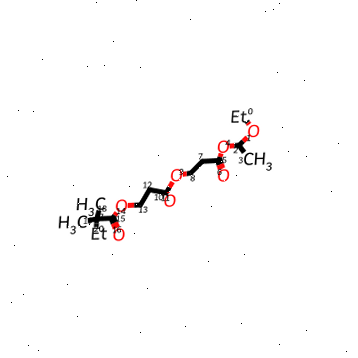 CCOC(C)OC(=O)CCOC(=O)CCOC(=O)C(C)(C)CC